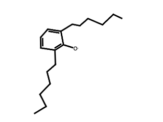 CCCCCCc1cccc(CCCCCC)c1[O]